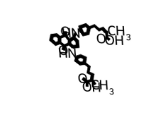 CC(=CCCc1ccc(Nc2ccc(Nc3ccc(CCC=C(C)C(=O)O)cc3)c3c2C(=O)c2ccccc2C3=O)cc1)C(=O)O